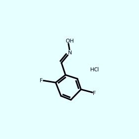 Cl.ON=Cc1cc(F)ccc1F